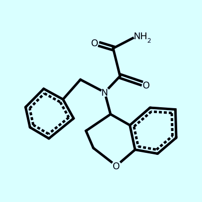 NC(=O)C(=O)N(Cc1ccccc1)C1CCOc2ccccc21